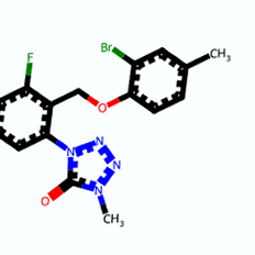 Cc1ccc(OCc2c(F)cccc2-n2nnn(C)c2=O)c(Br)c1